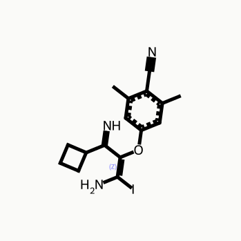 Cc1cc(O/C(C(=N)C2CCC2)=C(/N)I)cc(C)c1C#N